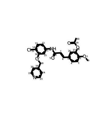 COc1ccc(/C=C/C(=O)Nc2ccc(Cl)c(OCc3ccncc3)c2)cc1OC(C)=O